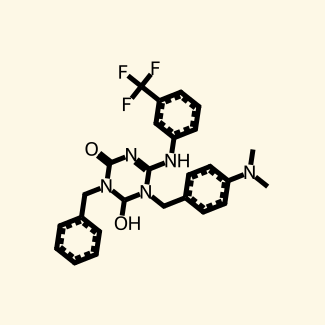 CN(C)c1ccc(CN2C(Nc3cccc(C(F)(F)F)c3)=NC(=O)N(Cc3ccccc3)C2O)cc1